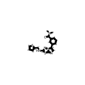 CN(C)C(=O)c1cccc(-c2cnc3sc(NCc4cccs4)nn23)c1